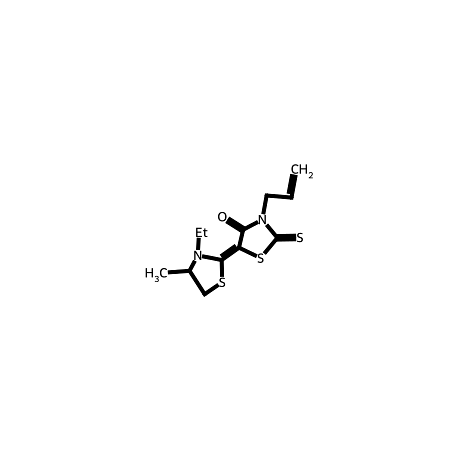 C=CCN1C(=O)C(=C2SCC(C)N2CC)SC1=S